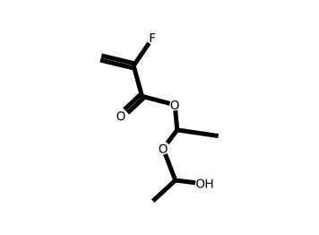 C=C(F)C(=O)OC(C)OC(C)O